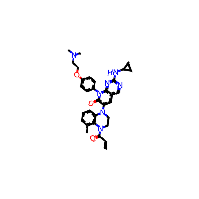 C=CC(=O)N1CCN(c2cc3cnc(NC4CC4)nc3n(-c3ccc(OCCN(C)C)cc3)c2=O)c2cccc(C)c21